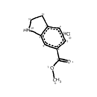 COC(=O)c1ccc2c(c1)NCC2.Cl